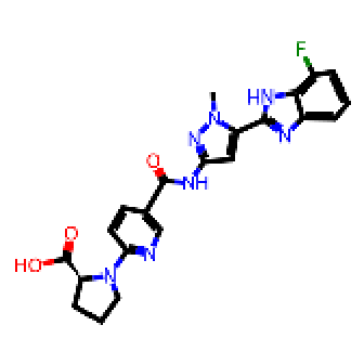 Cn1nc(NC(=O)c2ccc(N3CCC[C@H]3C(=O)O)nc2)cc1-c1nc2cccc(F)c2[nH]1